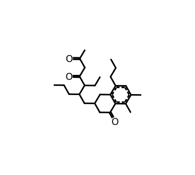 CCCc1cc(C)c(C)c2c1CC(CC(CCC)C(CC)C(=O)CC(C)=O)CC2=O